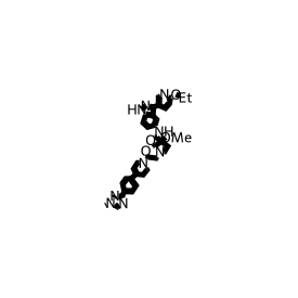 CCOc1ccc(-c2n[nH]c3ccc(NC(=O)C4(OC)CCN(CC(=O)N5CC=C(c6ccc(-c7ncn(C)n7)cc6)CC5)C4)cc23)cn1